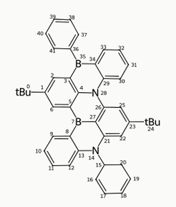 CC(C)(C)c1cc2c3c(c1)B1c4ccccc4N(C4C=CC=CC4)c4cc(C(C)(C)C)cc(c41)N3c1ccccc1B2c1ccccc1